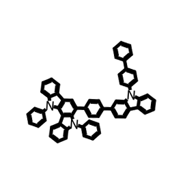 c1ccc(-c2ccc(-n3c4ccccc4c4ccc(-c5ccc(-c6cc7c8ccccc8n(-c8ccccc8)c7c7c8ccccc8n(-c8ccccc8)c67)cc5)cc43)cc2)cc1